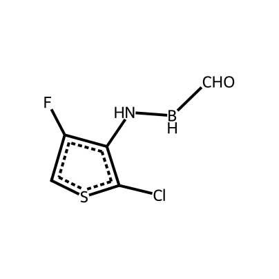 O=CBNc1c(F)csc1Cl